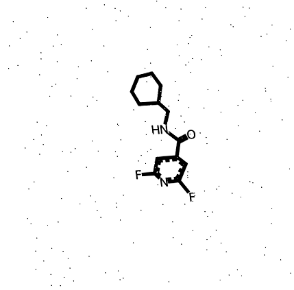 O=C(NCC1CCCCC1)c1cc(F)nc(F)c1